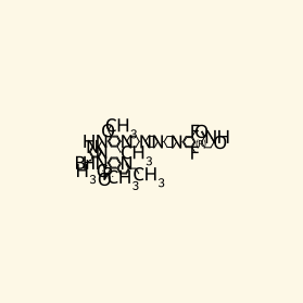 CCc1ccc2c(P(C)(C)=O)c(Nc3nc(Nc4cc(CC)c(N5CCC(N6CCN(C7CCN(c8cc(F)c([C@H]9CCC(=O)NC9=O)c(F)c8)CC7)CC6)CC5)cc4OC)ncc3Br)ccc2n1